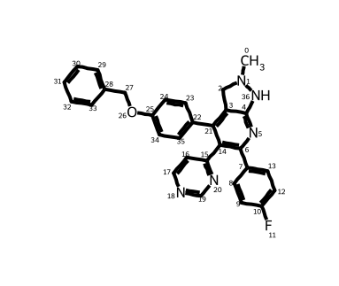 CN1Cc2c(nc(-c3ccc(F)cc3)c(-c3ccncn3)c2-c2ccc(OCc3ccccc3)cc2)N1